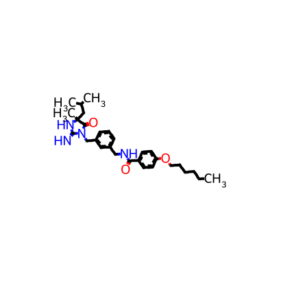 CCCCCCOc1ccc(C(=O)NCc2cccc(CN3C(=N)NC(C)(CC(C)C)C3=O)c2)cc1